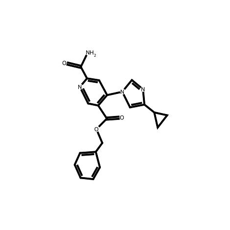 NC(=O)c1cc(-n2cnc(C3CC3)c2)c(C(=O)OCc2ccccc2)cn1